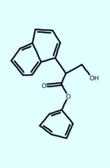 O=C(Oc1ccccc1)C(CO)c1cccc2ccccc12